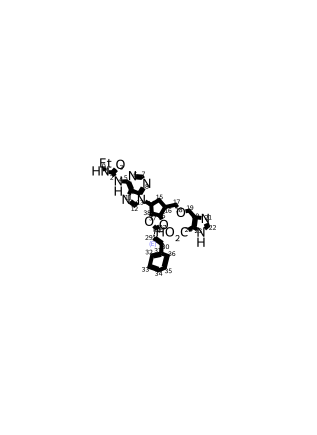 CCNC(=O)Nc1ncnc2c1ncn2C1CC(COCc2nc[nH]c2C(=O)O)C2O[C@H](/C=C/c3ccccc3)OC21